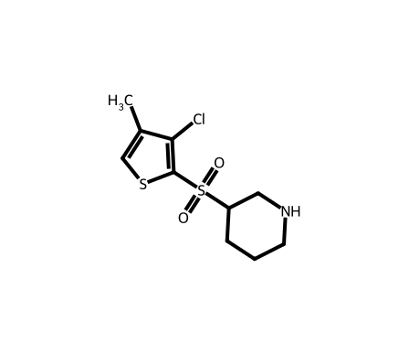 Cc1csc(S(=O)(=O)C2CCCNC2)c1Cl